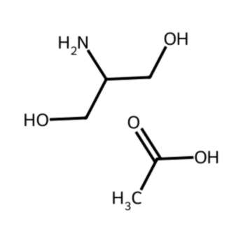 CC(=O)O.NC(CO)CO